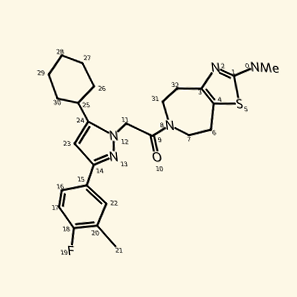 CNc1nc2c(s1)CCN(C(=O)Cn1nc(-c3ccc(F)c(C)c3)cc1C1CCCCC1)CC2